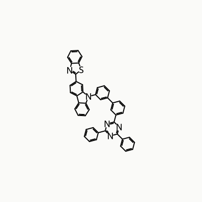 c1ccc(-c2nc(-c3ccccc3)nc(-c3cccc(-c4cccc(-n5c6ccccc6c6ccc(-c7nc8ccccc8s7)cc65)c4)c3)n2)cc1